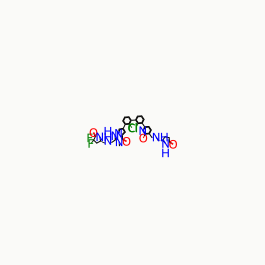 COc1nc(-c2cccc(-c3cccc(-c4cc5c(=O)n(C)c(CNC[C@H]6CC(F)(F)C(=O)N6)nn5c4)c3Cl)c2Cl)ccc1CNC[C@@H]1CCC(=O)N1